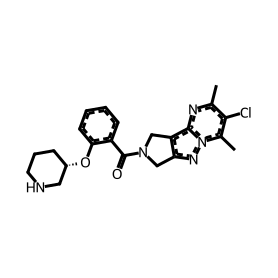 Cc1nc2c3c(nn2c(C)c1Cl)CN(C(=O)c1ccccc1O[C@H]1CCCNC1)C3